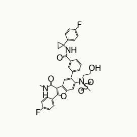 CNC(=O)c1c(-c2ccc(F)cc2)oc2cc(N(CCO)S(C)(=O)=O)c(-c3cccc(C(=O)NC4(c5ccc(F)cc5)CC4)c3)cc12